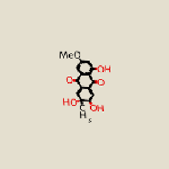 COc1cc(O)c2c(c1)C(=O)C1=CC(C)(O)C(O)C=C1C2=O